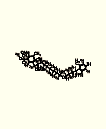 [2H]OC(C)(C)c1c([2H])c(C([2H])(OC)C([2H])([2H])N([2H])C([2H])([2H])C([2H])([2H])C([2H])([2H])C([2H])([2H])C([2H])([2H])C([2H])([2H])OC([2H])([2H])C([2H])([2H])C([2H])([2H])C([2H])([2H])c2c([2H])c([2H])c([2H])c([2H])c2C)c(C)c(C)c1OC